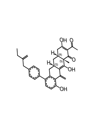 C=C(CC)Cc1ccc(-c2ccc(O)c3c2C[C@@H]2C[C@@H]4CC(O)=C(C(C)=O)C(=O)[C@]4(C)C(O)=C2C3=C)cc1